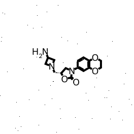 NC1CN(C[C@@H]2CN(c3ccc4c(c3)OCCO4)C(=O)O2)C1